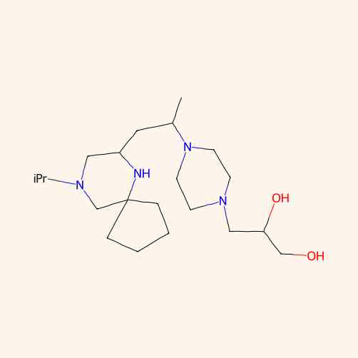 CC(C)N1CC(CC(C)N2CCN(CC(O)CO)CC2)NC2(CCCC2)C1